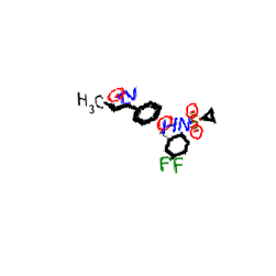 Cc1cc(-c2ccc(OC[C@H]3CC(F)(F)CC[C@@H]3NS(=O)(=O)C3CC3)cc2)no1